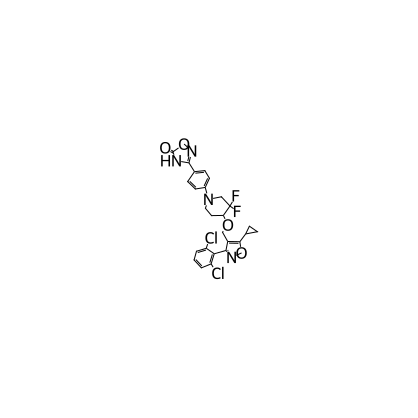 O=c1[nH]c(-c2ccc(N3CCC(OCc4c(-c5c(Cl)cccc5Cl)noc4C4CC4)C(F)(F)C3)cc2)no1